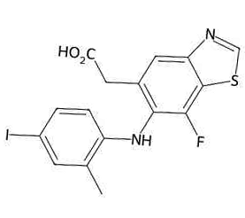 Cc1cc(I)ccc1Nc1c(CC(=O)O)cc2ncsc2c1F